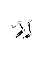 O=N[O-].O=N[O-].[K+].[Na+]